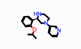 CC(C)Oc1ccccc1[C@@H]1CN(c2cccnc2)CCN1